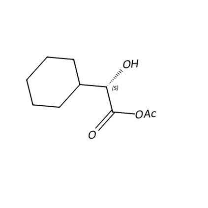 CC(=O)OC(=O)[C@@H](O)C1CCCCC1